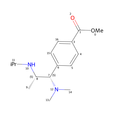 COC(=O)c1ccc([C@@H]([C@H](C)NC(C)C)N(C)C)cc1